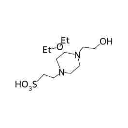 CCOCC.O=S(=O)(O)CCN1CCN(CCO)CC1